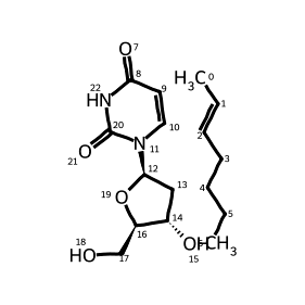 CC=CCCCC.O=c1ccn([C@H]2C[C@H](O)[C@@H](CO)O2)c(=O)[nH]1